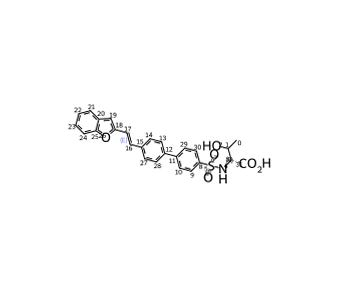 CC(O)[C@@H](NS(=O)(=O)c1ccc(-c2ccc(/C=C/c3cc4ccccc4o3)cc2)cc1)C(=O)O